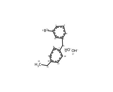 [B+2]c1cccc(Cc2ccc(CC)cc2)c1.[OH-].[OH-]